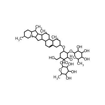 CC1OC(OC2C(OC3CC[C@@]4(C)C(=CCC5C6CC7C([C@H](C)C8CC[C@H](C)CN78)[C@@]6(C)CCC54)C3)CC(CO)C(O)(OC3OC(C)C(O)C(O)C3O)C2O)C(O)C(O)C1O